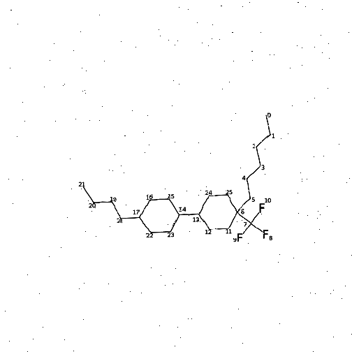 CCCCCCC1(C(F)(F)F)CCC(C2CCC(CCCC)CC2)CC1